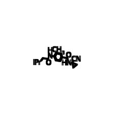 Cc1cc(C(=O)NC2(C#N)CC2)ccc1NC(=O)CC(C)C